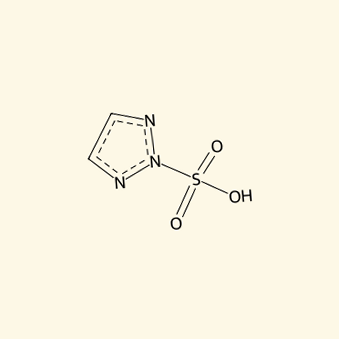 O=S(=O)(O)n1nccn1